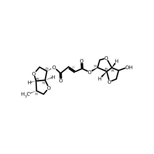 C[C@H]1CO[C@H]2[C@@H]1OC[C@@H]2OC(=O)/C=C/C(=O)O[C@H]1CO[C@@H]2C(O)CO[C@H]12